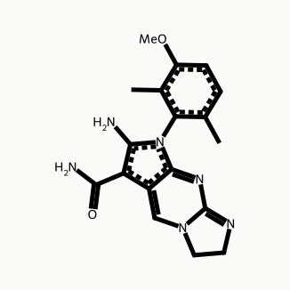 COc1ccc(C)c(-n2c(N)c(C(N)=O)c3c2=NC2=NCCN2C=3)c1C